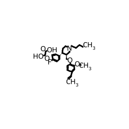 CC=Cc1ccc(OC[C@@H]2CN(CCCCC)CC[C@H]2c2ccc(F)cc2)c(OC)c1.O=C(O)C(=O)O